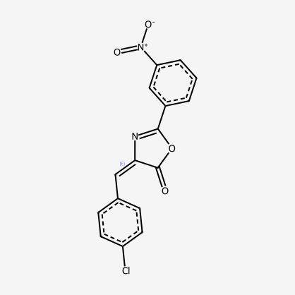 O=C1OC(c2cccc([N+](=O)[O-])c2)=N/C1=C/c1ccc(Cl)cc1